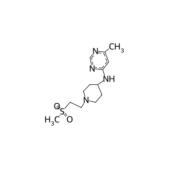 Cc1cc(NC2CCN(CCS(C)(=O)=O)CC2)ncn1